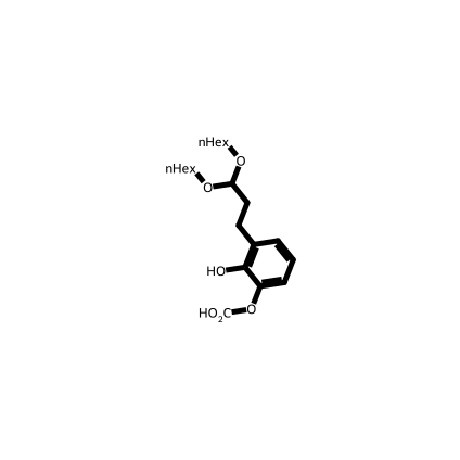 CCCCCCOC(CCc1cccc(OC(=O)O)c1O)OCCCCCC